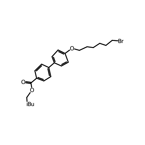 CCC(C)COC(=O)c1ccc(-c2ccc(OCCCCCCBr)cc2)cc1